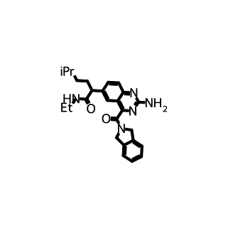 CCNC(=O)C(CCC(C)C)c1ccc2nc(N)nc(C(=O)N3Cc4ccccc4C3)c2c1